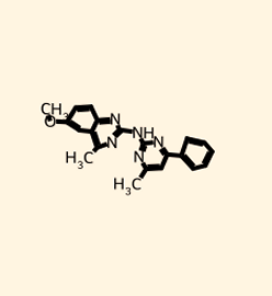 COc1ccc2nc(Nc3nc(C)cc(-c4ccccc4)n3)nc(C)c2c1